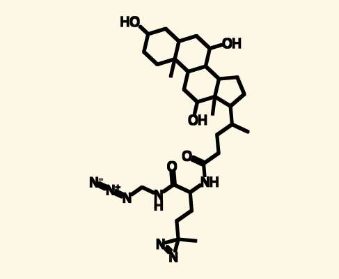 CC(CCC(=O)NC(CCC1(C)N=N1)C(=O)NCN=[N+]=[N-])C1CCC2C3C(O)CC4CC(O)CCC4(C)C3CC(O)C12C